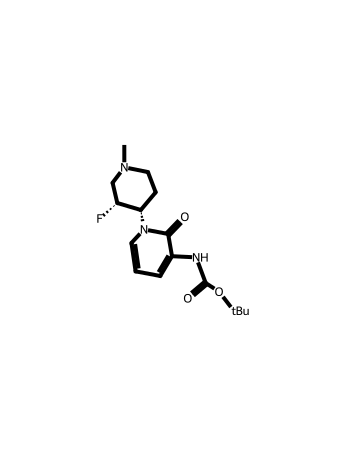 CN1CC[C@H](n2cccc(NC(=O)OC(C)(C)C)c2=O)[C@H](F)C1